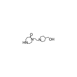 O=C1CCNCCN1CCN1CCC(CO)CC1